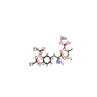 CCCCOC(=O)OC(C)[C@H](C)OC(=O)[C@@H](N)Cc1ccc(OC(=O)CC)c(OC(=O)CC)c1